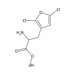 CCCOC(=O)C(N)Cc1cc(Cl)oc1Cl